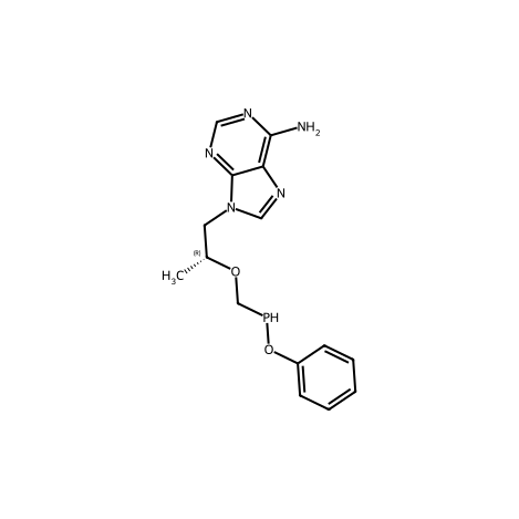 C[C@H](Cn1cnc2c(N)ncnc21)OCPOc1ccccc1